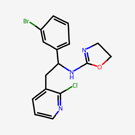 Clc1ncccc1CC(NC1=NCCO1)c1cccc(Br)c1